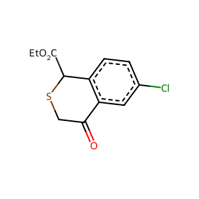 CCOC(=O)C1SCC(=O)c2cc(Cl)ccc21